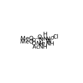 COc1cc(CCC(=O)NCCNc2cc(NCCNC(C)=O)nc(-c3ccc(Cl)cc3)n2)cc(OC)c1OC